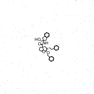 O=C(OCc1ccccc1)[C@@H](CCc1ccccc1)CC1(C(=O)NC2(CO)Cc3ccccc3C2)CCCC1